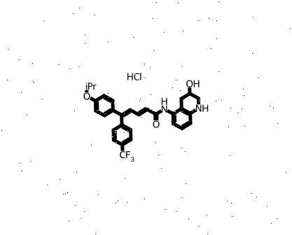 CC(C)Oc1ccc(C(=CC=CC(=O)Nc2cccc3c2CC(O)CN3)c2ccc(C(F)(F)F)cc2)cc1.Cl